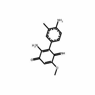 COC1=CC(=O)C(N)=C(c2ccc(N)c(C)c2)C1=N